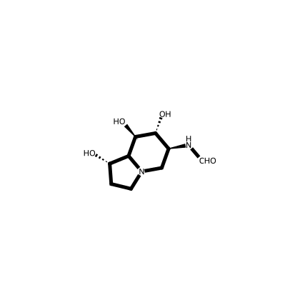 O=CN[C@H]1CN2CC[C@H](O)C2[C@@H](O)[C@@H]1O